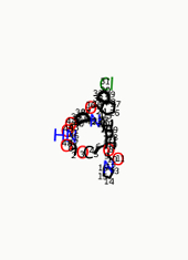 CC1(C)OC/C=C/[C@H](OCC(=O)N2CCCC2)[C@@H]2CC[C@H]2CN2C[C@@]3(CCCc4cc(Cl)ccc43)COc3ccc(cc32)S(=O)(=O)NC1=O